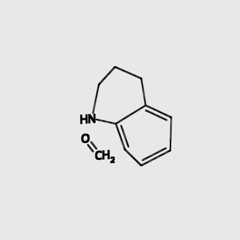 C=O.c1ccc2c(c1)CCCN2